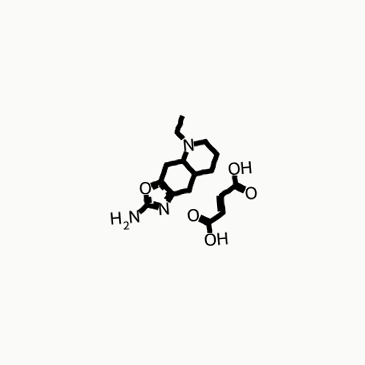 CCN1CCCC2Cc3nc(N)oc3CC21.O=C(O)C=CC(=O)O